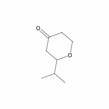 CC(C)C1CC(=O)CCO1